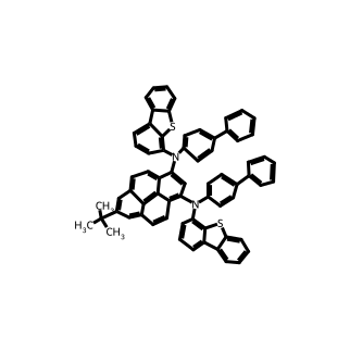 CC(C)(C)c1cc2ccc3c(N(c4ccc(-c5ccccc5)cc4)c4cccc5c4sc4ccccc45)cc(N(c4ccc(-c5ccccc5)cc4)c4cccc5c4sc4ccccc45)c4ccc(c1)c2c34